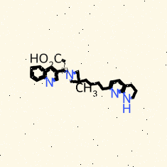 CC1(CCCCc2ccc3c(n2)NCCC3)CN([C@@H](CC(=O)O)c2cnc3ccccc3c2)C1